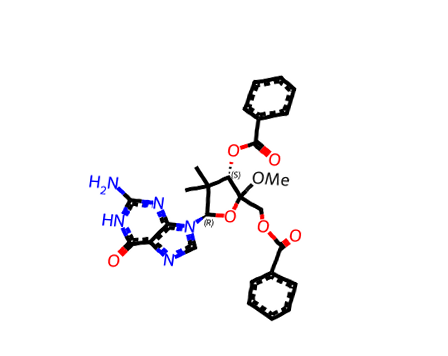 COC1(COC(=O)c2ccccc2)O[C@@H](n2cnc3c(=O)[nH]c(N)nc32)C(C)(C)[C@@H]1OC(=O)c1ccccc1